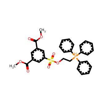 COC(=O)c1cc(C(=O)OC)cc(S(=O)(=O)OCC[PH](c2ccccc2)(c2ccccc2)c2ccccc2)c1